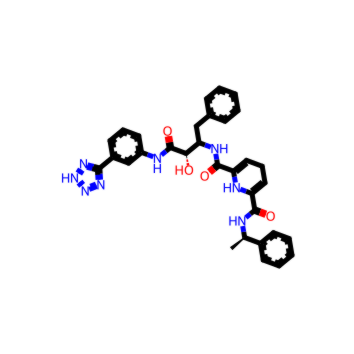 C[C@@H](NC(=O)C1=CCC=C(C(=O)NC(Cc2ccccc2)[C@H](O)C(=O)Nc2cccc(-c3nn[nH]n3)c2)N1)c1ccccc1